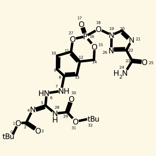 CC(C)(C)OC(=O)/N=C(/NNc1ccc2c(c1)COP(=O)(On1cnc(C(N)=O)n1)O2)NC(=O)OC(C)(C)C